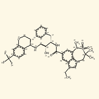 CCc1cn2c3c(cc(C(=O)N[C@@H](Cc4ccccc4)[C@H](O)CNC4CCOc5cc(C(F)(F)F)ccc54)cc13)N(C)S(=O)(=O)C(C)(C)C2